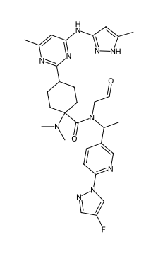 Cc1cc(Nc2cc(C)[nH]n2)nc(C2CCC(C(=O)N(CC=O)C(C)c3ccc(-n4cc(F)cn4)nc3)(N(C)C)CC2)n1